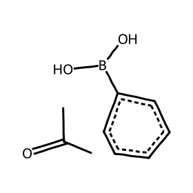 CC(C)=O.OB(O)c1ccccc1